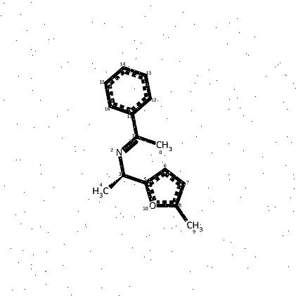 C/C(=N\[C@H](C)c1ccc(C)o1)c1ccccc1